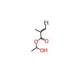 CC/C=C(\C)C(=O)OC(C)O